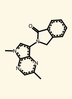 Cc1cnc2c(n1)c(N1Cc3ccccc3C1=O)cn2C